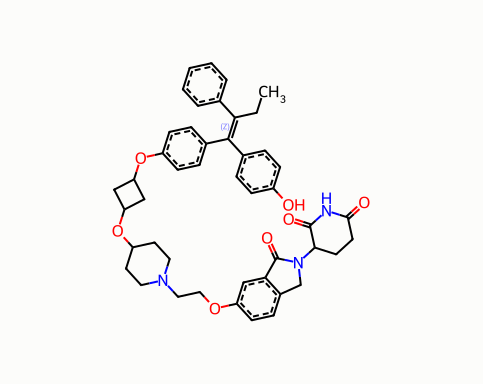 CC/C(=C(\c1ccc(O)cc1)c1ccc(OC2CC(OC3CCN(CCOc4ccc5c(c4)C(=O)N(C4CCC(=O)NC4=O)C5)CC3)C2)cc1)c1ccccc1